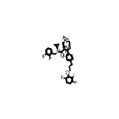 CC(=O)N1CC2CC(c3ccc(CCCOc4c(F)ccc(F)c4F)cc3)=C(C(=O)N(Cc3cccc(F)c3F)C3CC3)C(C1)N2